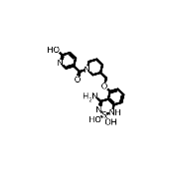 NC1=NS(O)(O)Nc2cccc(OCC3CCCN(C(=O)c4ccc(O)nc4)C3)c21